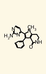 Cn1c2c(c(-c3ccccc3)c1-c1ccnc(N)n1)C(=O)NCC2